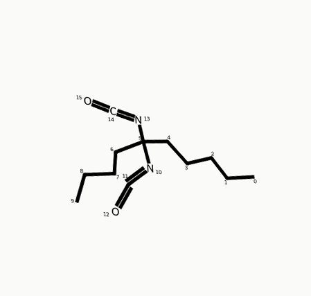 CCCCCC(CCCC)(N=C=O)N=C=O